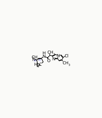 CC/C(=C\C(=N/C)C1CC1)NC(=O)C(C)c1cn2cc(Cl)c(C)cc2n1